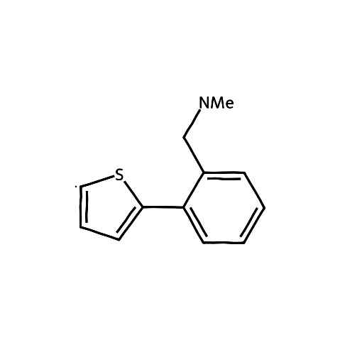 CNCc1ccccc1-c1cc[c]s1